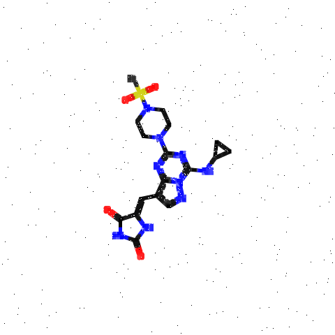 CCS(=O)(=O)N1CCN(c2nc(NC3CC3)n3ncc(/C=C4\NC(=O)NC4=O)c3n2)CC1